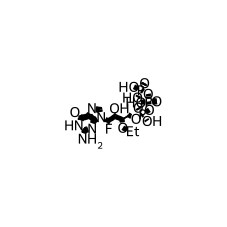 CCO[C@H](COP(=O)(O)OP(=O)(O)OP(=O)(O)O)[C@@H](O)[C@@H](F)n1cnc2c(=O)[nH]c(N)nc21